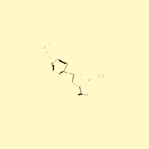 CCCOc1ccc(CCC(C(N)=O)S(C)(=O)=O)cc1